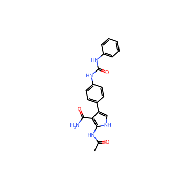 CC(=O)Nc1[nH]cc(-c2ccc(NC(=O)Nc3ccccc3)cc2)c1C(N)=O